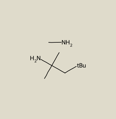 CC(C)(C)CC(C)(C)N.CN